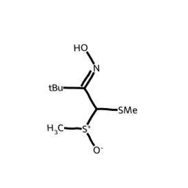 CSC(C(=NO)C(C)(C)C)[S+](C)[O-]